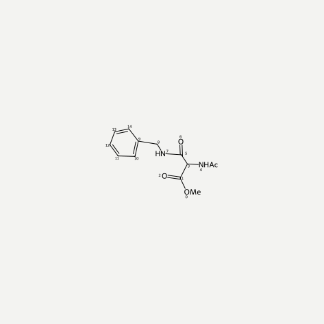 COC(=O)C(NC(C)=O)C(=O)NCc1ccccc1